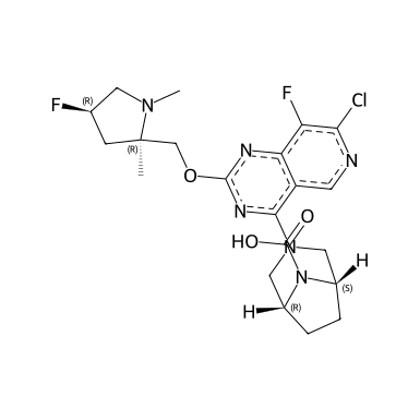 CN1C[C@H](F)C[C@]1(C)COc1nc(N2C[C@H]3CC[C@@H](C2)N3C(=O)O)c2cnc(Cl)c(F)c2n1